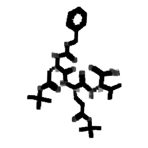 CC(C)[C@H](NC(=O)[C@H](CCC(=O)OC(C)(C)C)NC(=O)[C@H](CC(=O)OC(C)(C)C)NC(=O)OCc1ccccc1)C(=O)O